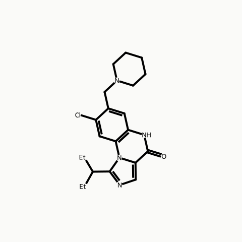 CCC(CC)c1ncc2c(=O)[nH]c3cc(CN4CCCCC4)c(Cl)cc3n12